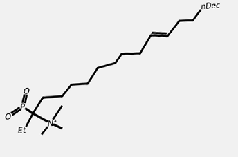 CCCCCCCCCCCCC=CCCCCCCCCC(CC)(P(=O)=O)[N+](C)(C)C